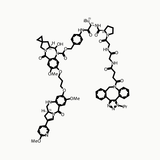 CC[C@H](C)[C@H](NC(=O)[C@H]1CCCN1C(=O)CNC(=O)CNC(=O)CCC(=O)N1Cc2ccccc2-c2nnn(C(C)C)c2-c2ccccc21)C(=O)Nc1ccc(COC(=O)N2c3cc(OCCCOc4cc5c(cc4OC)C(=O)N4C=C(c6ccc(OC)nc6)C[C@H]4CN5)c(OC)cc3C(=O)N3CC4(CC4)C[C@H]3C2O)cc1